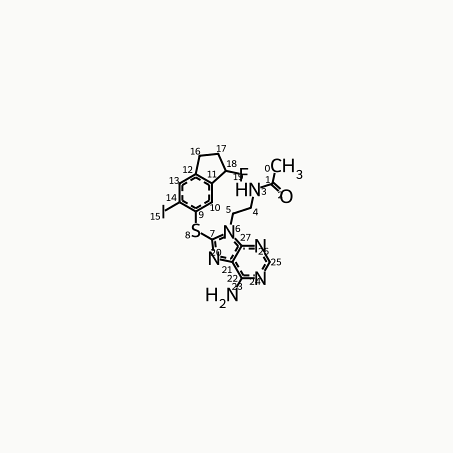 CC(=O)NCCn1c(Sc2cc3c(cc2I)CCC3F)nc2c(N)ncnc21